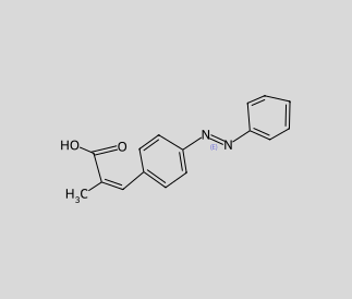 CC(=Cc1ccc(/N=N/c2ccccc2)cc1)C(=O)O